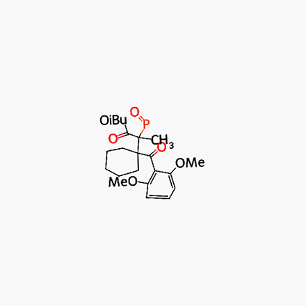 COc1cccc(OC)c1C(=O)C1(C(C)(P=O)C(=O)OCC(C)C)CCCCC1